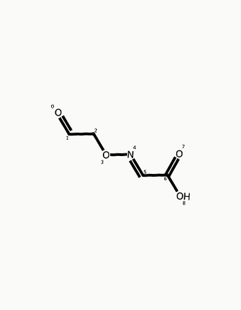 O=CCO/N=C/C(=O)O